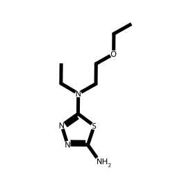 CCOCCN(CC)c1nnc(N)s1